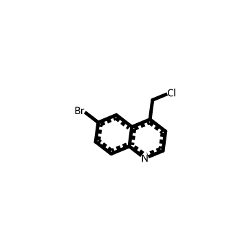 ClCc1ccnc2ccc(Br)cc12